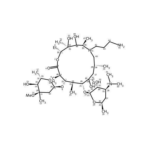 CC[C@H]1OC(=O)[C@H](C)[C@@H](O[C@H]2C[C@@](C)(OC)[C@@H](O)[C@H](C)O2)[C@H](C)[C@@H](O[C@@H]2O[C@H](C)C[C@H](N(C)C)[C@H]2O)[C@](C)(O)C[C@@H](C)CN(CCCN)[C@H](C)C(O)[C@]1(C)O